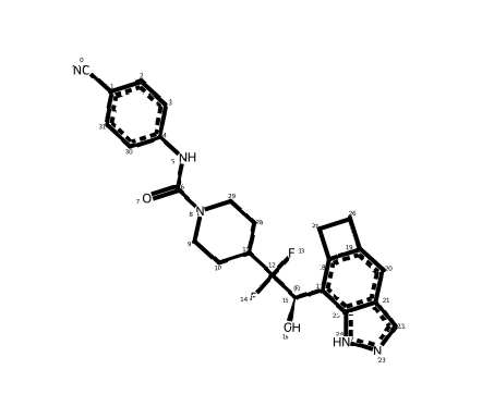 N#Cc1ccc(NC(=O)N2CCC(C(F)(F)[C@H](O)c3c4c(cc5cn[nH]c35)CC4)CC2)cc1